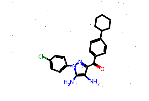 Nc1c(C(=O)c2ccc(C3CCCCC3)cc2)nn(-c2ccc(Cl)cc2)c1N